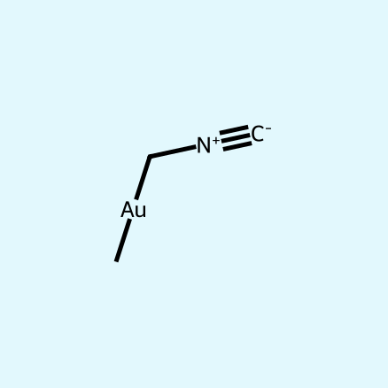 [C-]#[N+][CH2][Au][CH3]